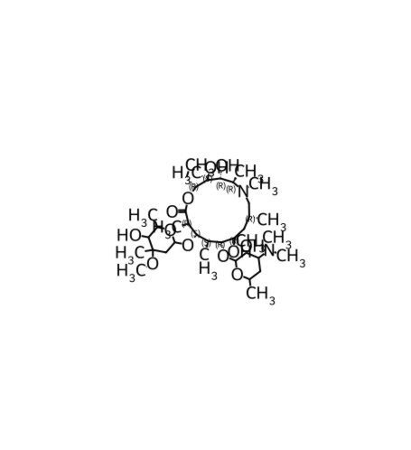 CC[C@H]1OC(=O)[C@H](C)[C@@H](OC2CC(C)(OC)C(O)C(C)O2)[C@H](C)[C@@H](OC2OC(C)CC(N(C)C)C2O)[C@](C)(O)C[C@@H](C)CN(C)[C@H](C)[C@@H](O)[C@]1(C)O